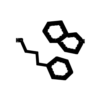 OCCCc1ccccc1.c1ccc2cnccc2c1